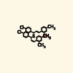 Cc1ccc(C=CC(SC(/C=C\c2ccc(C)cc2C)c2ccc(Cl)cc2)c2ccc(Cl)cc2)c(C)c1